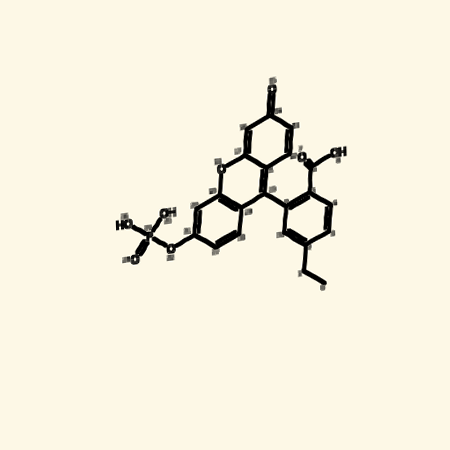 CCc1ccc(C(=O)O)c(-c2c3ccc(=O)cc-3oc3cc(OP(=O)(O)O)ccc23)c1